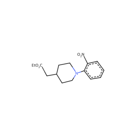 CCOC(=O)CC1CCN(c2ccccc2[N+](=O)[O-])CC1